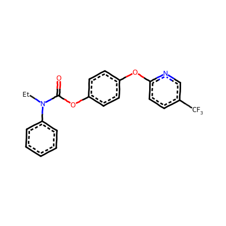 CCN(C(=O)Oc1ccc(Oc2ccc(C(F)(F)F)cn2)cc1)c1ccccc1